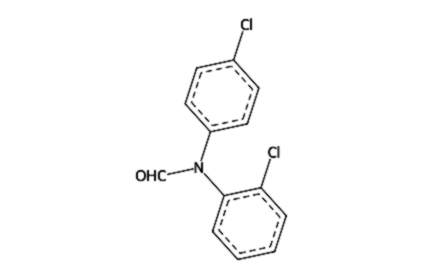 O=CN(c1ccc(Cl)cc1)c1ccccc1Cl